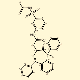 CC(=O)NS(=O)(=O)c1cccc(NC(=O)NC2N=C(c3ccccc3)c3ccccc3[N+](C)(c3ccccc3)C2=O)c1